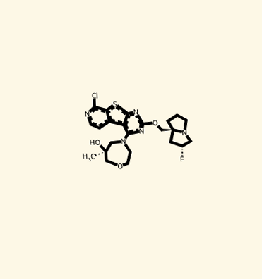 C[C@@]1(O)COCCN(c2nc(OC[C@@]34CCCN3C[C@H](F)C4)nc3sc4c(Cl)nccc4c23)C1